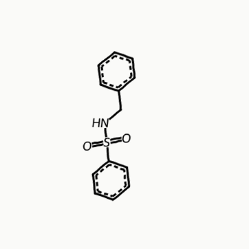 O=S(=O)(NCc1ccccc1)c1ccccc1